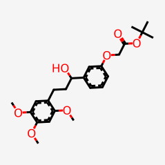 COc1cc(OC)c(OC)cc1CCC(O)c1cccc(OCC(=O)OC(C)(C)C)c1